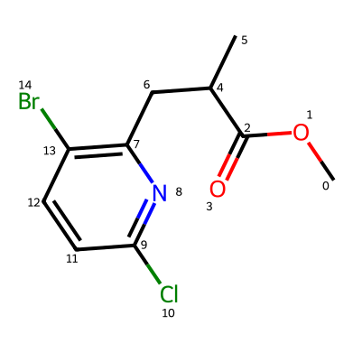 COC(=O)C(C)Cc1nc(Cl)ccc1Br